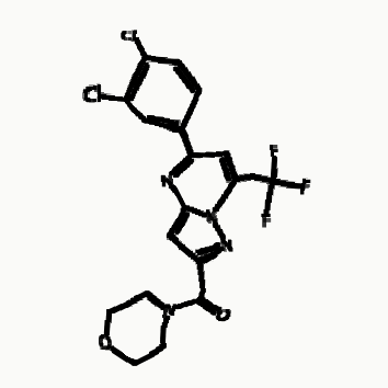 O=C(c1cc2nc(-c3ccc(Cl)c(Cl)c3)cc(C(F)(F)F)n2n1)N1CCOCC1